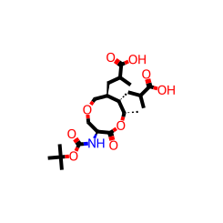 CC(C[C@@H]1COC[C@H](NC(=O)OC(C)(C)C)C(=O)O[C@@H](C)[C@H]1CC(C)C(=O)O)C(=O)O